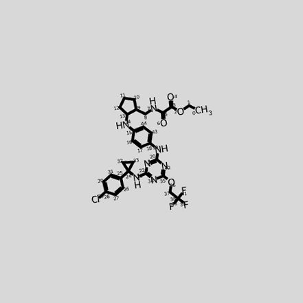 CCOC(=O)C(=O)NCC1CCCC1Nc1ccc(Nc2nc(NC3(c4ccc(Cl)cc4)CC3)nc(OCC(F)(F)F)n2)cc1